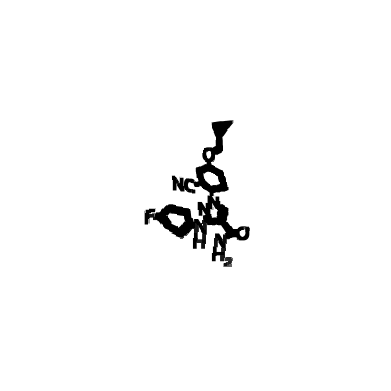 N#C[C@H]1C[C@@H](OCC2CC2)CC[C@@H]1n1cc(C(N)=O)c(Nc2ccc(F)cc2)n1